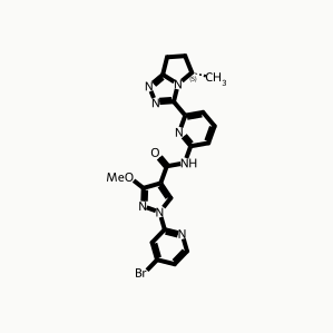 COc1nn(-c2cc(Br)ccn2)cc1C(=O)Nc1cccc(-c2nnc3n2[C@@H](C)CC3)n1